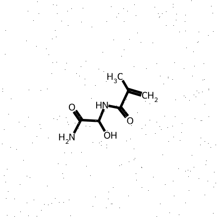 C=C(C)C(=O)NC(O)C(N)=O